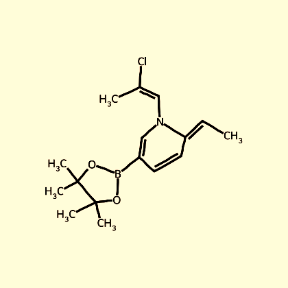 CC=C1C=CC(B2OC(C)(C)C(C)(C)O2)=CN1/C=C(\C)Cl